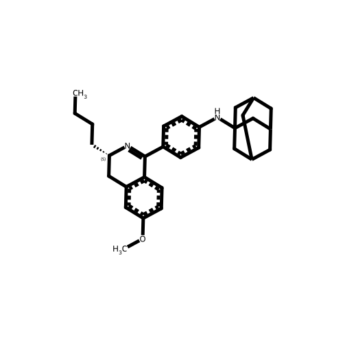 CCCC[C@H]1Cc2cc(OC)ccc2C(c2ccc(NC34CC5CC(CC(C5)C3)C4)cc2)=N1